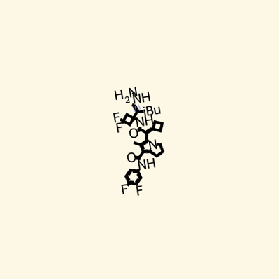 CCC(C)/C(=C\NN)C1(NC(=O)C(=C2CCC2)c2c(C)c(C(=O)Nc3ccc(F)c(F)c3)c3n2CCC3)CC(F)(F)C1